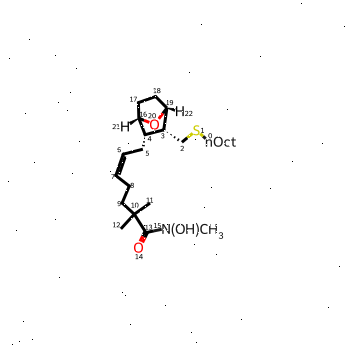 CCCCCCCCSC[C@@H]1[C@H](C/C=C\CCC(C)(C)C(=O)N(C)O)[C@@H]2CC[C@H]1O2